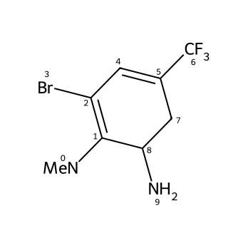 CNC1=C(Br)C=C(C(F)(F)F)CC1N